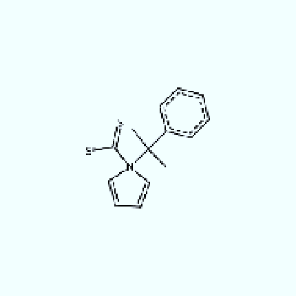 CC(C)(c1ccccc1)[N+]1(C(=S)[S-])C=CC=C1